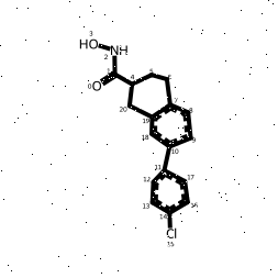 O=C(NO)C1CCc2ccc(-c3ccc(Cl)cc3)cc2C1